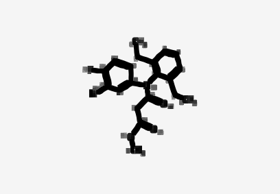 CCc1cccc(CC)c1N(C(=O)CC(=O)OC)c1ccc(F)c(Br)c1